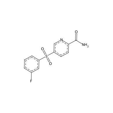 NC(=O)c1ccc(S(=O)(=O)c2cccc(F)c2)cn1